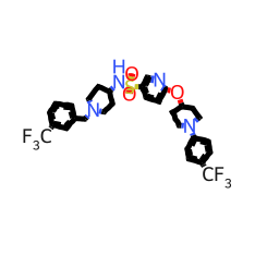 O=S(=O)(NC1CCN(Cc2cccc(C(F)(F)F)c2)CC1)c1ccc(OC2CCN(c3ccc(C(F)(F)F)cc3)CC2)nc1